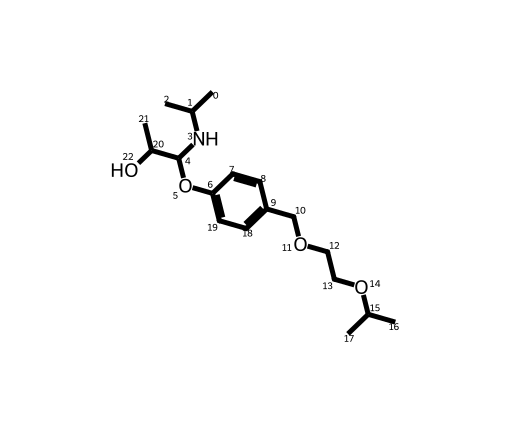 CC(C)NC(Oc1ccc(COCCOC(C)C)cc1)C(C)O